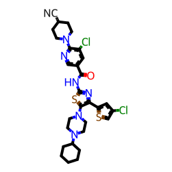 N#CC1CCN(c2ncc(C(=O)Nc3nc(-c4cc(Cl)cs4)c(N4CCN(C5CCCCC5)CC4)s3)cc2Cl)CC1